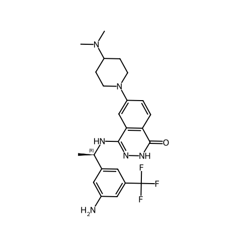 C[C@@H](Nc1n[nH]c(=O)c2ccc(N3CCC(N(C)C)CC3)cc12)c1cc(N)cc(C(F)(F)F)c1